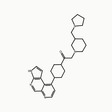 O=C(CN1CCCC(CN2CCCC2)C1)C1CCC(c2ccnc3cnc4[nH]ccc4c23)CC1